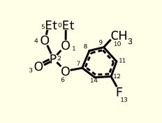 CCOP(=O)(OCC)Oc1cc(C)cc(F)c1